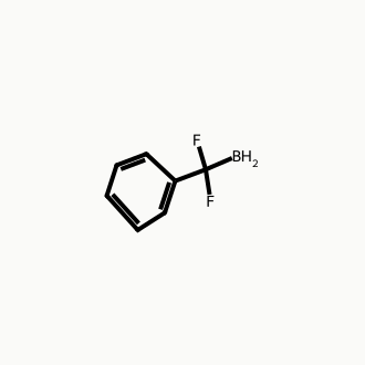 BC(F)(F)c1ccccc1